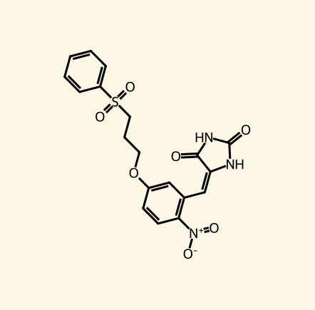 O=C1NC(=O)/C(=C\c2cc(OCCCS(=O)(=O)c3ccccc3)ccc2[N+](=O)[O-])N1